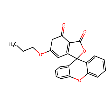 CCCOC1=CC2=C(C(=O)C1)C(=O)OC21c2ccccc2Oc2ccccc21